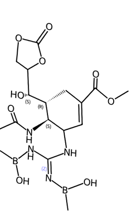 COC(=O)C1=CC(N/C(=N\B(C)O)NB(C)O)[C@@H](NC(C)=O)[C@H]([C@H](O)C2COC(=O)O2)C1